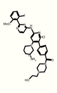 COc1cccc(F)c1-c1nccc(Nc2cc(N3CCC[C@H](N)C3)c(-c3ccc(C(=O)N4CCN(CCO)CC4)cc3)cn2)n1.Cl